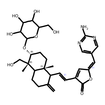 C=C1CCC2[C@](C)(CC[C@@H](OC3OC(CO)C(O)C(O)C3O)[C@@]2(C)CO)C1/C=C/C1=CC(=C\c2cnc(N)nc2)/OC1=O